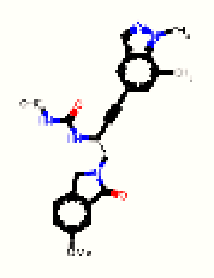 COc1ccc2c(c1)C(=O)N(C[C@@H](C#Cc1cc(C)c3c(cnn3C)c1)NC(=O)NC=O)C2